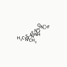 Cc1nc(C)c(-c2csc(Nc3ccc(C(=O)N4CCC(F)CC4)cn3)n2)s1